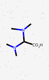 CN(C)C(C(=O)O)N(C)C